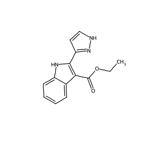 CCOC(=O)c1c(-c2cc[nH]n2)[nH]c2ccccc12